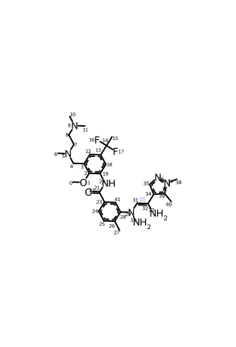 COc1c(CN(C)CCN(C)C)cc(C(C)(F)F)cc1NC(=O)c1ccc(C)c(N(N)/C=C(\N)c2cnn(C)c2C)c1